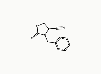 N#CC1COC(=O)N1Cc1ccccc1